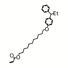 C=CC(=O)OCCCCCCCCCCCOc1ccc(C(CC)c2ccccc2)cc1